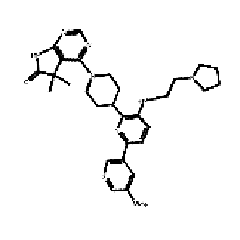 COc1cncc(-c2ccc(NCCN3CCCC3)c(C3CCN(c4ncnc5c4C(C)(C)C(=O)N5)CC3)n2)c1